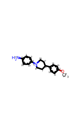 Nc1ccc(N2CCC(c3ccc(OC(F)(F)F)cc3)CC2)cc1